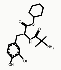 CC(C)(N)C(=O)N[C@@H](Cc1ccc(O)c(O)c1)C(=O)OC1CCCCC1